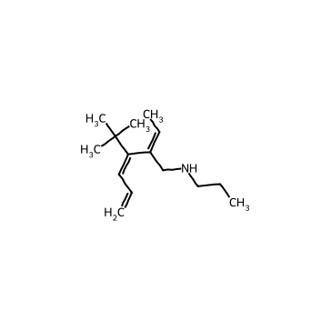 C=C/C=C(\C(=C/C)CNCCC)C(C)(C)C